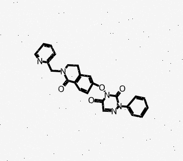 O=C1c2ccc(On3c(=O)cnn(-c4ccccc4)c3=O)cc2CCN1Cc1ccccn1